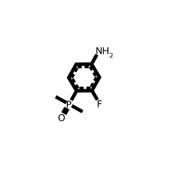 CP(C)(=O)c1ccc(N)cc1F